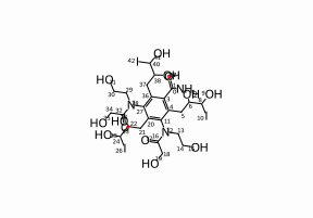 NC(=O)c1c(CC(O)C(O)I)c(N(CCO)C(=O)CO)c(CC(O)C(O)I)c(N(CCO)C(=O)CO)c1CC(O)C(O)I